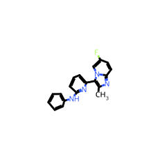 Cc1nc2ccc(F)cn2c1-c1cccc(Nc2ccccc2)n1